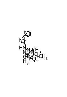 Cc1nc(NCc2cnn(Cc3ccccn3)c2)nc2c1NC(=O)C(OC(C)C)N2C